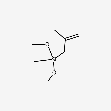 C=C(C)C[Si](C)(OC)OC